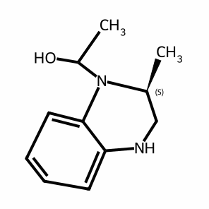 CC(O)N1c2ccccc2NC[C@@H]1C